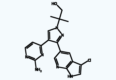 CC(C)(CO)n1cc(-c2ccnc(N)n2)c(-c2cnc3[nH]cc(Cl)c3c2)n1